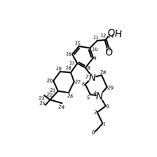 CCCCN1CCN(c2cc(CC(=O)O)ccc2C2CCC(C(C)(C)C)CC2)CC1